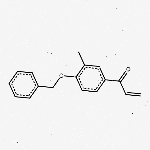 C=CC(=O)c1ccc(OCc2ccccc2)c(C)c1